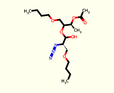 CCCCOCC(OC(O)[C@H](COCCCC)N=[N+]=[N-])[C@H](C)OC(C)=O